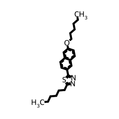 CCCCCCOc1ccc2cc(-c3nnc(CCCCCC)s3)ccc2c1